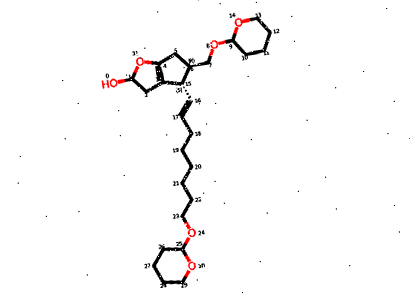 OC1CC2=C(C[C@@H](COC3CCCCO3)[C@@H]2C=CCCCCCCOC2CCCCO2)O1